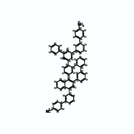 N#Cc1ccc(-c2cccc(-c3nc(-c4cccc(-c5ccccc5-c5ccccc5-c5cc(-c6cccc(-c7ccc(N)cc7)c6)nc(-c6ccccc6)n5)c4)nc4ccccc34)c2)cc1